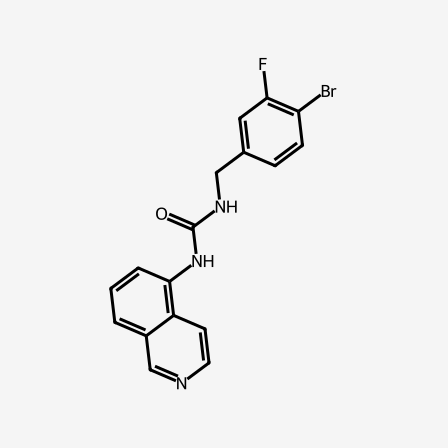 O=C(NCc1ccc(Br)c(F)c1)Nc1cccc2cnccc12